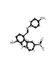 Cc1ccc(N=Cc2ccc(O)c3oc4ccc([N+](=O)[O-])cc4c23)cc1